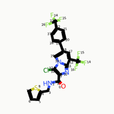 O=C(NCc1cccs1)c1nc2c(C(F)(F)F)cc(-c3ccc(C(F)(F)F)cc3)cn2c1Cl